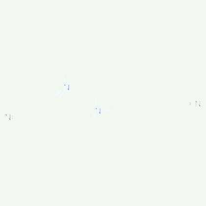 N#Cc1ccc2c(c1)c1ccccc1n2-c1ccccc1-c1ncccc1C#N